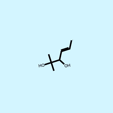 [CH2]C=CC(O)C(C)(C)O